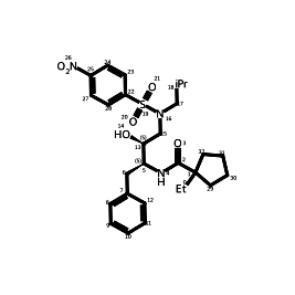 CCC1(C(=O)N[C@@H](Cc2ccccc2)[C@@H](O)CN(CC(C)C)S(=O)(=O)c2ccc([N+](=O)[O-])cc2)CCCC1